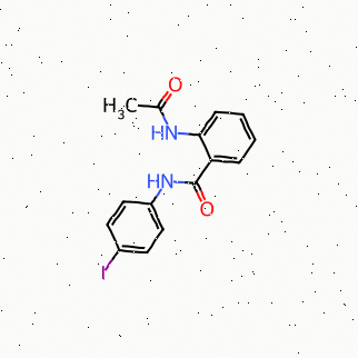 CC(=O)Nc1ccccc1C(=O)Nc1ccc(I)cc1